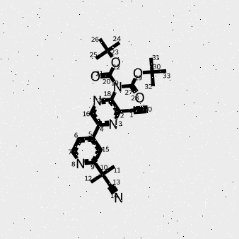 C#Cc1nc(-c2ccnc(C(C)(C)C#N)c2)cnc1N(C(=O)OC(C)(C)C)C(=O)OC(C)(C)C